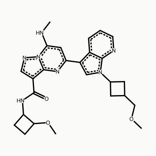 CNc1cc(-c2cn(C3CC(COC)C3)c3ncccc23)nc2c(C(=O)NC3CCC3OC)cnn12